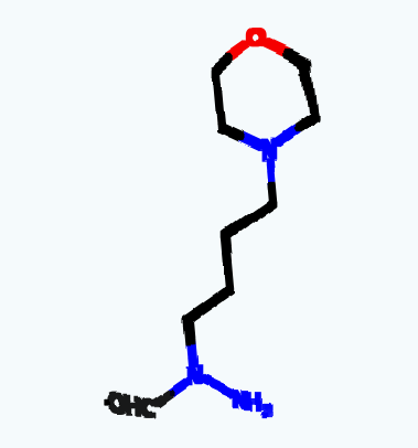 NN([C]=O)CCCCN1CCOCC1